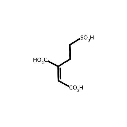 O=C(O)/C=C(\CCS(=O)(=O)O)C(=O)O